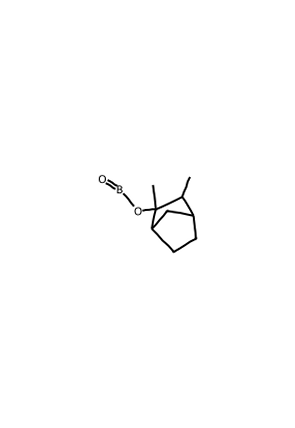 CC1C2CCC(C2)C1(C)OB=O